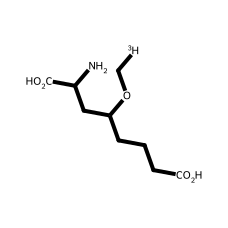 [3H]COC(CCCC(=O)O)CC(N)C(=O)O